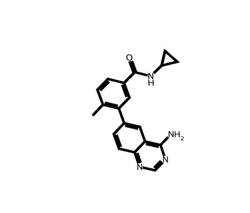 Cc1ccc(C(=O)NC2CC2)cc1-c1ccc2ncnc(N)c2c1